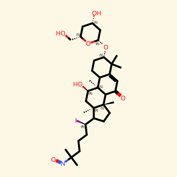 CC(C)(CCC[C@@H](I)C1CC[C@@]2(C)C3C(=O)C=C4C(CC[C@H](O[C@H]5C[C@@H](O)C[C@@H](CO)O5)C4(C)C)[C@]3(C)[C@H](O)C[C@]12C)N=O